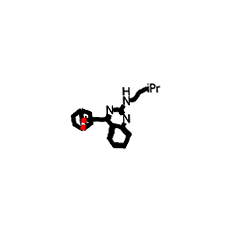 CC(C)CCNc1nc(N2CC3CCC(CC3)C2)c2ccccc2n1